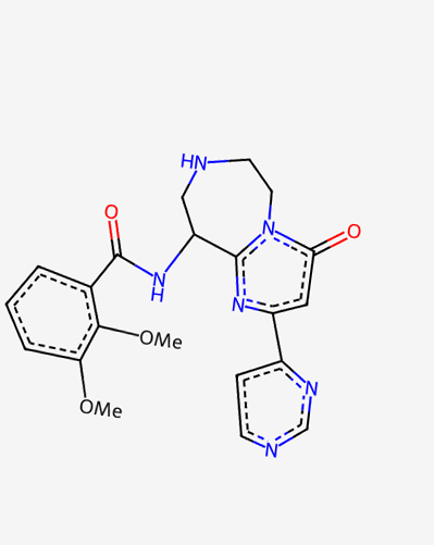 COc1cccc(C(=O)NC2CNCCn3c2nc(-c2ccncn2)cc3=O)c1OC